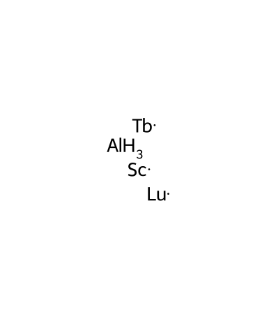 [AlH3].[Lu].[Sc].[Tb]